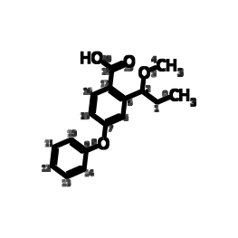 CCC(OC)c1cc(Oc2ccccc2)ccc1C(=O)O